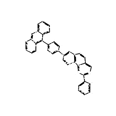 c1ccc(-c2ncc3ccc4cc(-c5ccc(-c6c7ccccc7cc7ccccc67)cc5)ccc4c3n2)cc1